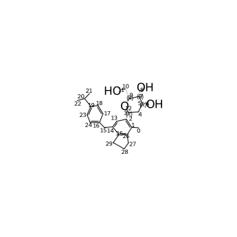 Cc1c([C@H]2C[C@@H](O)[C@@H](O)[C@@H](CO)O2)cc(Cc2ccc(C(C)C)cc2)c2c1CCC2